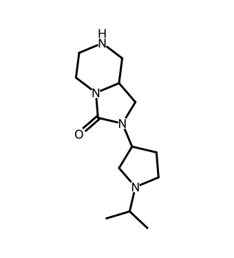 CC(C)N1CCC(N2CC3CNCCN3C2=O)C1